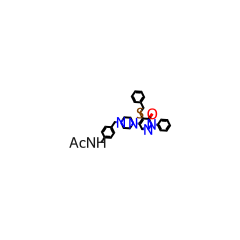 CC(=O)Nc1ccc(CN2CCN(c3cnn(-c4ccccc4)c(=O)c3SCc3ccccc3)CC2)cc1